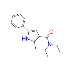 CCN(CC)C(=O)c1cc(-c2ccccc2)[nH]c1C